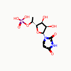 CC(OP(=O)(O)O)[C@H]1O[C@@H](n2ccc(=O)[nH]c2=O)[C@H](O)[C@@H]1O